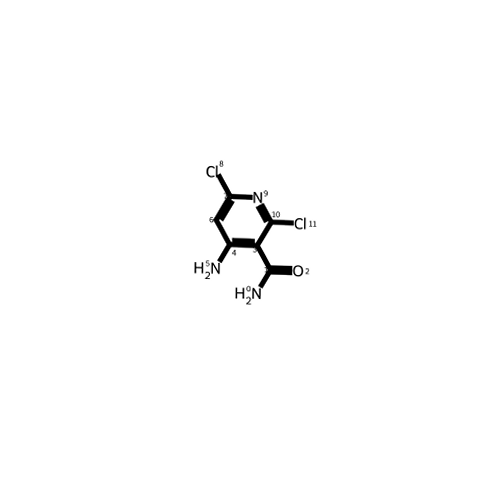 NC(=O)c1c(N)cc(Cl)nc1Cl